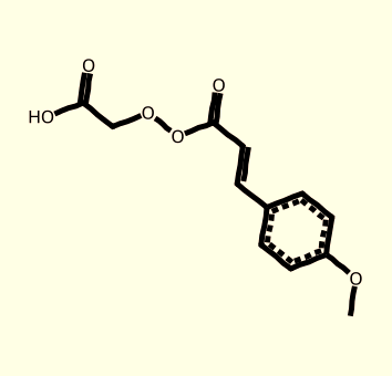 COc1ccc(C=CC(=O)OOCC(=O)O)cc1